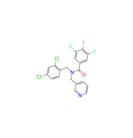 O=C(c1cc(F)c(F)c(F)c1)N(Cc1cccnc1)Cc1ccc(Cl)cc1Cl